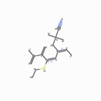 C=C(C)C(=C)/C(=C\C(=C/C)CC(C)(C)C#N)SCC